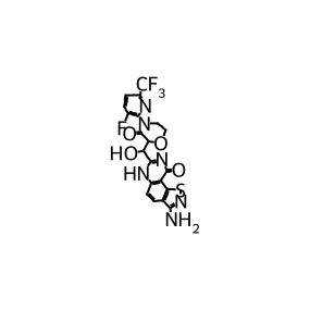 Nc1nsc2c1ccc1[nH]c(C(O)C3OCCN(c4nc(C(F)(F)F)ccc4F)C3=O)nc(=O)c12